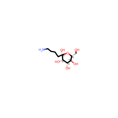 NCCCC[C@@]1(O)O[C@H](CO)[C@@H](O)[C@H](O)[C@@H]1O